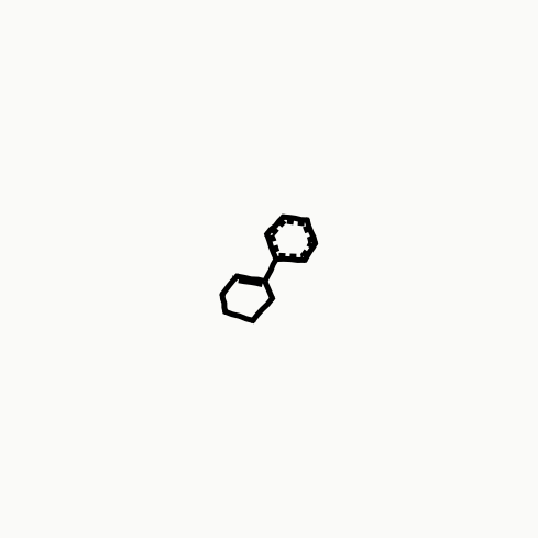 [C]1=C(c2ccccc2)CCCC1